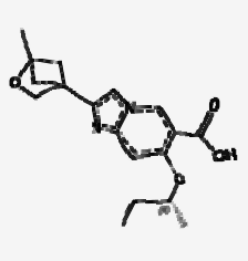 CC[C@@H](C)Oc1cc2nc(C34COC(C)(C3)C4)cn2cc1C(=O)O